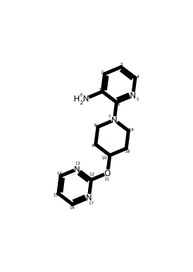 Nc1cccnc1N1CCC(Oc2ncccn2)CC1